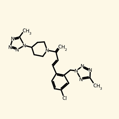 C=C(/C=C/c1ccc(Cl)cc1Cn1nnc(C)n1)N1CCC(n2nnnc2C)CC1